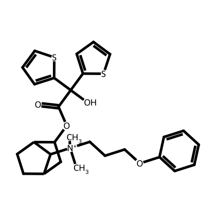 C[N+](C)(CCCOc1ccccc1)C1C2CCC1C(OC(=O)C(O)(c1cccs1)c1cccs1)C2